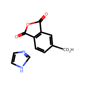 O=C(O)c1ccc2c(c1)C(=O)OC2=O.c1c[nH]cn1